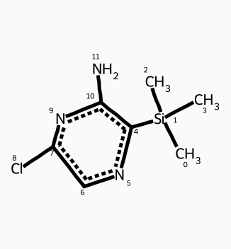 C[Si](C)(C)c1ncc(Cl)nc1N